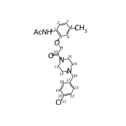 CC(=O)Nc1ccc(C)cc1OCC(=O)N1CCN(Cc2ccc(Cl)cc2)CC1